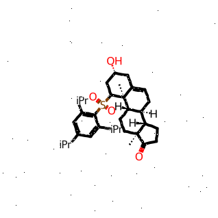 CC(C)c1cc(C(C)C)c(S(=O)(=O)C2C[C@H](O)CC3=CC[C@H]4[C@@H]5CCC(=O)[C@@]5(C)CC[C@@H]4[C@]32C)c(C(C)C)c1